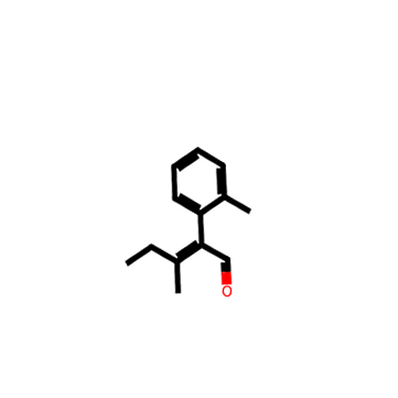 CC/C(C)=C(/C=O)c1ccccc1C